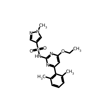 CCOc1cc(-c2c(C)cccc2C)nc(NS(=O)(=O)c2cnn(C)c2)n1